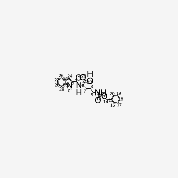 Cn1c(C(=O)N[C@@H](CCCNC(=O)OCc2ccccc2)C(=O)O)cc2ccccc21